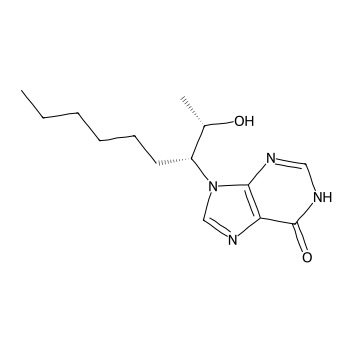 CCCCCC[C@H]([C@H](C)O)n1cnc2c(=O)[nH]cnc21